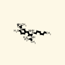 C=C/C=C\C=C/CN/C(NC(=C)N)=C(/C)C(=N)C(/C=C\CC)=C/N=C(\C)OC